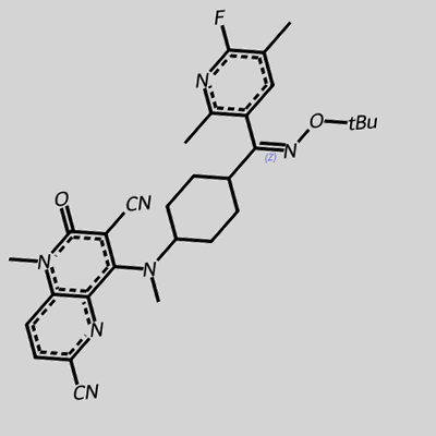 Cc1cc(/C(=N\OC(C)(C)C)C2CCC(N(C)c3c(C#N)c(=O)n(C)c4ccc(C#N)nc34)CC2)c(C)nc1F